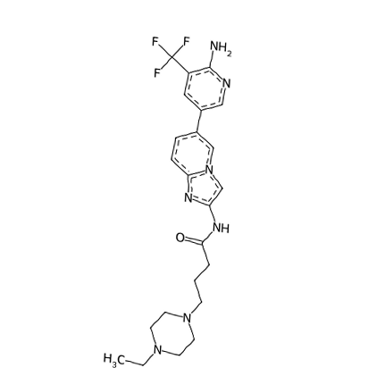 CCN1CCN(CCCC(=O)Nc2cn3cc(-c4cnc(N)c(C(F)(F)F)c4)ccc3n2)CC1